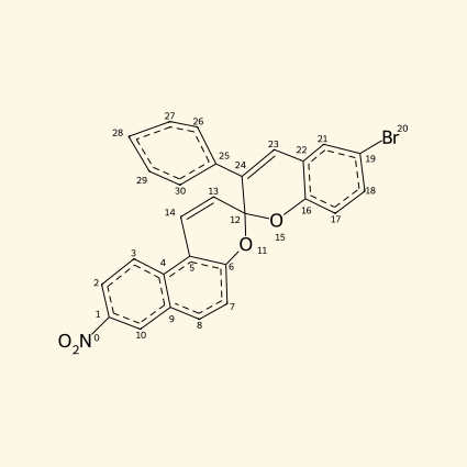 O=[N+]([O-])c1ccc2c3c(ccc2c1)OC1(C=C3)Oc2ccc(Br)cc2C=C1c1ccccc1